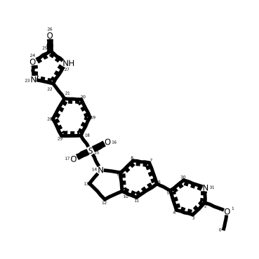 COc1ccc(-c2ccc3c(c2)CCN3S(=O)(=O)c2ccc(-c3noc(=O)[nH]3)cc2)cn1